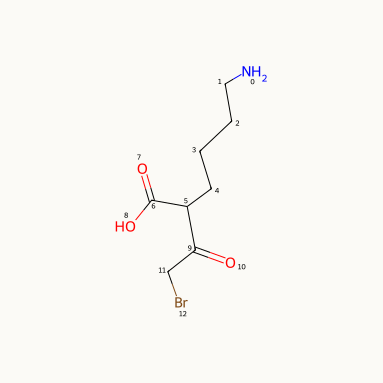 NCCCCC(C(=O)O)C(=O)CBr